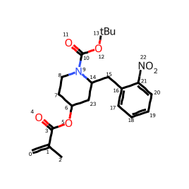 C=C(C)C(=O)OC1CCN(C(=O)OC(C)(C)C)C(Cc2ccccc2[N+](=O)[O-])C1